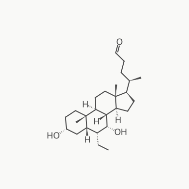 CC[C@H]1[C@@H](O)[C@@H]2[C@H](CC[C@]3(C)[C@@H]([C@H](C)CCC=O)CC[C@@H]23)[C@@]2(C)CC[C@@H](O)C[C@@H]12